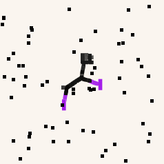 CCC(I)[CH]I